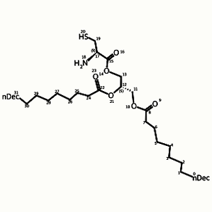 CCCCCCCCCCCCCCCCCC(=O)OC[C@@H](COC(=O)[C@@H](N)CS)OC(=O)CCCCCCCCCCCCCCCCC